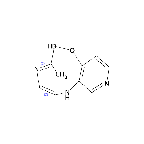 C/C1=N\C=C/Nc2cnccc2OB1